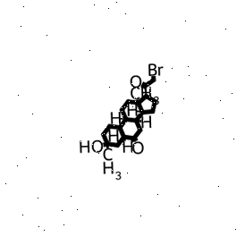 C[C@@]1(O)CC[C@@H]2[C@H]3CC[C@]4(C)[C@@H](C(=O)CBr)CC[C@H]4[C@@H]3CC(=O)[C@H]2C1